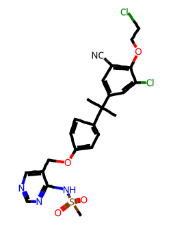 CC(C)(c1ccc(OCc2cncnc2NS(C)(=O)=O)cc1)c1cc(Cl)c(OCCCl)c(C#N)c1